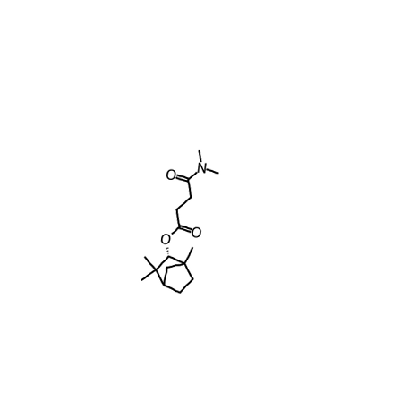 CN(C)C(=O)CCC(=O)O[C@@H]1C2(C)CCC(C2)C1(C)C